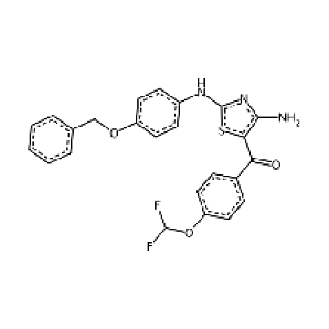 Nc1nc(Nc2ccc(OCc3ccccc3)cc2)sc1C(=O)c1ccc(OC(F)F)cc1